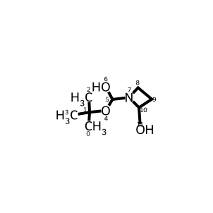 CC(C)(C)OC(O)N1CCC1O